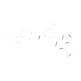 CC(C)N1CCC(CC(=O)N2CC(c3ccc(C4C=N4)c4ncccc34)C[C@@H](C)C2)CC1